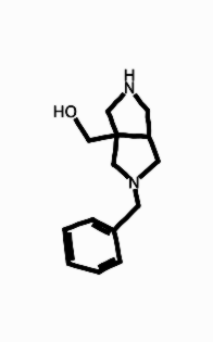 OCC12CNCC1CN(Cc1ccccc1)C2